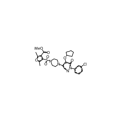 COC(=O)c1c(C)oc(C)c1S(=O)(=O)N1CCN(c2cnn(-c3cccc(Cl)c3)c(=O)c2OC2CCCC2)CC1